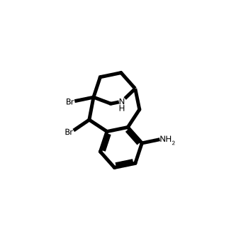 Nc1cccc2c1CC1CCC(Br)(CN1)C2Br